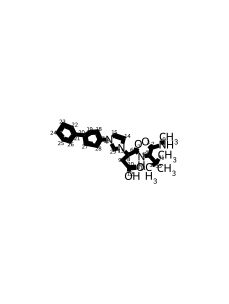 CNC(=O)C(NC(=O)C(CC(=O)O)N1C=CN(c2ccc(-c3ccccc3)cc2)C1)C(C)(C)C